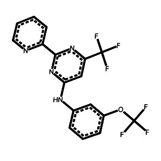 FC(F)(F)Oc1cccc(Nc2cc(C(F)(F)F)nc(-c3ccccn3)n2)c1